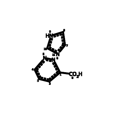 O=C(O)c1cccnn1.c1c[nH]cn1